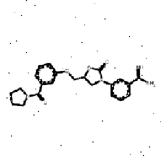 N=C(N)c1cccc(N2CC(COc3cccc(C(=O)N4CCCC4)c3)OC2=O)c1